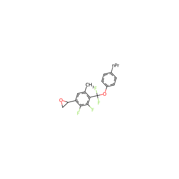 CCCc1ccc(OC(F)(F)c2c(C)cc(C3CO3)c(F)c2F)cc1